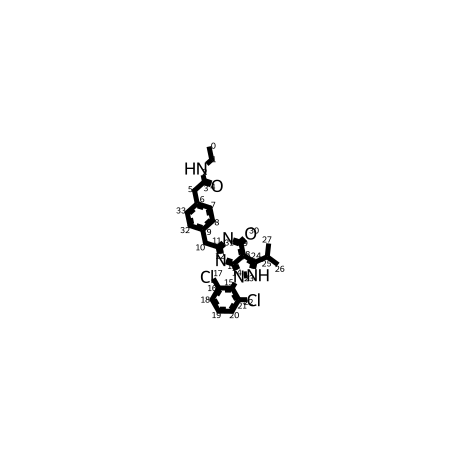 CCNC(=O)Cc1ccc(Cc2nc3n(-c4c(Cl)cccc4Cl)[nH]c(C(C)C)c-3c(=O)n2)cc1